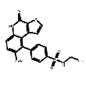 COc1ccc2[nH]c(=O)c3sccc3c2c1-c1ccc(S(=O)(=O)NCC(F)(F)F)cc1